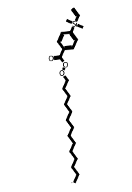 [CH2]CCCCCCCCCCCCCOOC(=O)c1ccc([Si](C)(C)C=C)cc1